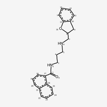 O=C(NCCCNCC1Cc2ccccc2O1)c1cccc2ccccc12